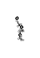 CCCOC(=O)c1ccc(C(=O)NS(=O)(=O)c2cccc(C(=O)NCCOc3ccccc3)c2)cn1